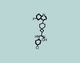 O/N=C(\Nc1ccc(Cl)cc1)C1CC2(CCC(c3ccnc4ccc(F)cc34)CC2)C1